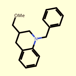 COCC1Cc2ccccc2N(Cc2ccccc2)C1